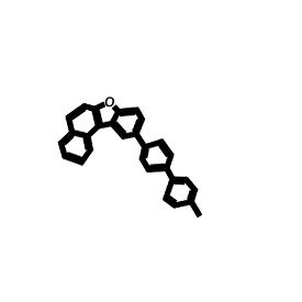 Cc1ccc(-c2ccc(-c3ccc4oc5ccc6ccccc6c5c4c3)cc2)cc1